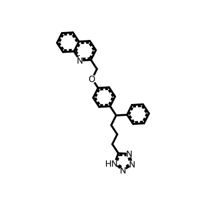 c1ccc(C(CCCc2nnn[nH]2)c2ccc(OCc3ccc4ccccc4n3)cc2)cc1